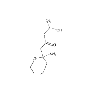 CC(O)CC(=O)CC1([SiH3])CCCCO1